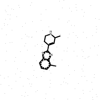 Cc1cccc2sc(C3=CC(C)NCC3)nc12